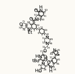 CCN(c1cc(-c2ccc(CN3CCN(CCOCC(=O)NC(C(=O)N4C[C@H](O)C[C@H]4C(=O)N[C@@H](C)c4ccc(-c5scnc5C)cc4)C(C)(C)C)CC3)cc2)cc(C(=O)NCc2c(C)cc(C)[nH]c2=O)c1C)C1CCOCC1